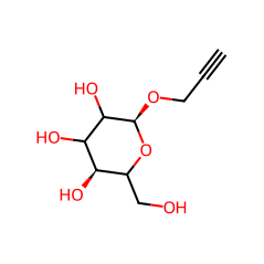 C#CCO[C@H]1OC(CO)[C@@H](O)C(O)C1O